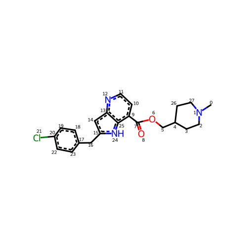 CN1CCC(COC(=O)c2ccnc3cc(Cc4ccc(Cl)cc4)[nH]c23)CC1